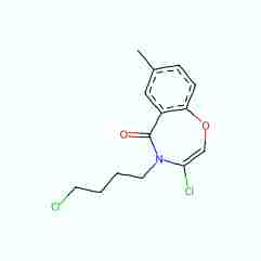 Cc1ccc2c(c1)C(=O)N(CCCCCl)C(Cl)=CO2